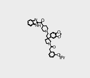 CC(C)Oc1cccc(CC(=O)N2CCC(CCN3CCC(C(=O)c4nc5ccccc5[nH]4)CC3)(c3ccc4c(c3)OCO4)C2)c1